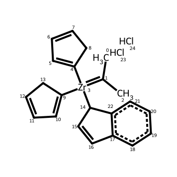 C[C](C)=[Zr]([C]1=CC=CC1)([C]1=CC=CC1)[CH]1C=Cc2ccccc21.Cl.Cl